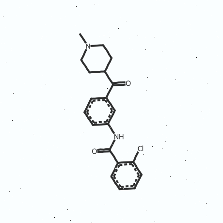 CN1CCC(C(=O)c2cccc(NC(=O)c3ccccc3Cl)c2)CC1